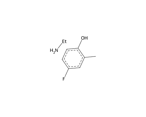 CCN.Cc1cc(F)ccc1O